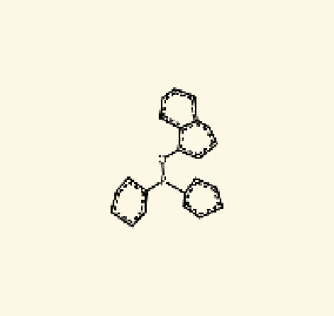 c1ccc(P(Oc2cccc3ccccc23)c2ccccc2)cc1